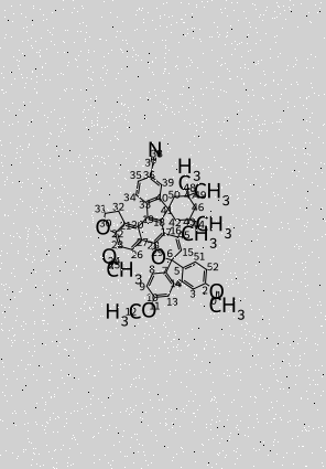 COc1ccc(C2(c3ccc(OC)cc3)C=Cc3c4c(c5c6c(c(OC)cc5c3O2)OCC6)-c2ccc(C#N)cc2C42CC(C)(C)CC(C)(C)C2)cc1